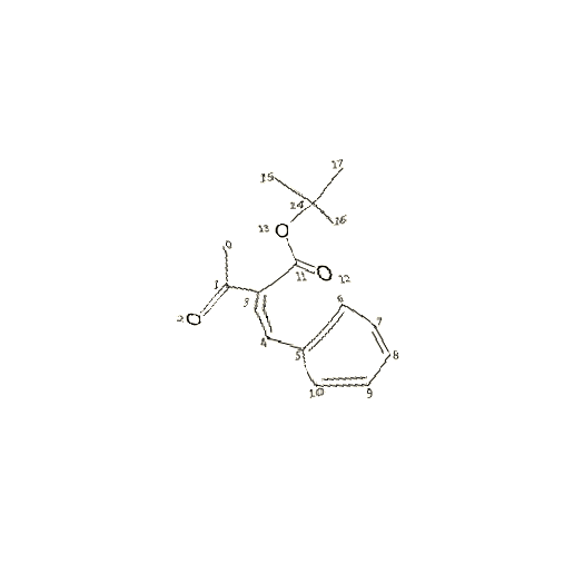 CC(=O)C(=Cc1ccccc1)C(=O)OC(C)(C)C